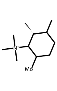 CC1CC[CH]([Mo])C([N+](C)(C)C)[C@@H]1C